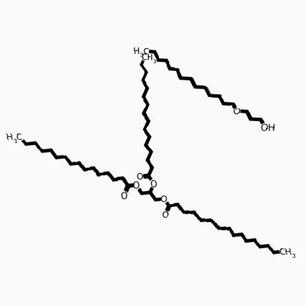 CCCCCCCCCCCCCCCC(=O)OCC(COC(=O)CCCCCCCCCCCCCCC)OC(=O)CCCCCCCCCCCCCCC.CCCCCCCCCCCCCCOCCCO